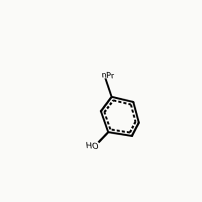 C[CH]Cc1cccc(O)c1